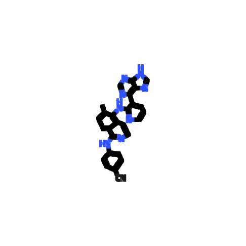 Cc1ccc2c(Nc3ccc(C#N)cc3)nccc2c1Nc1ncccc1-c1ncnc2[nH]cnc12